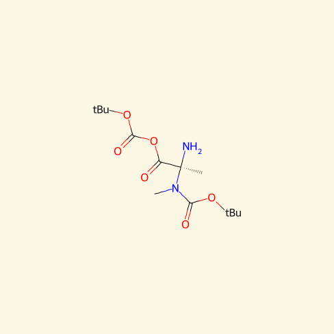 CN(C(=O)OC(C)(C)C)[C@](C)(N)C(=O)OC(=O)OC(C)(C)C